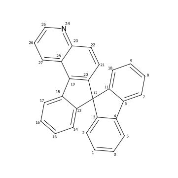 c1ccc2c(c1)-c1ccccc1C21c2ccccc2-c2c1ccc1ncccc21